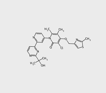 Cc1nc(COc2c(C)c(C)n(-c3ccnc(-c4ccnc(C(C)(C)O)n4)c3)c(=O)c2Cl)cs1